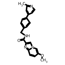 COc1ccc2nc(C(=O)NCc3ccc(-c4ccnc(C)c4)cc3)cn2c1